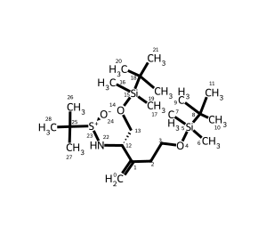 C=C(CCO[Si](C)(C)C(C)(C)C)[C@@H](CO[Si](C)(C)C(C)(C)C)N[S@@+]([O-])C(C)(C)C